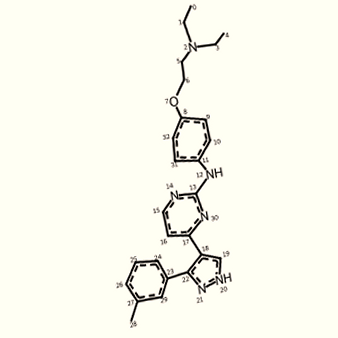 CCN(CC)CCOc1ccc(Nc2nccc(-c3c[nH]nc3-c3cccc(C)c3)n2)cc1